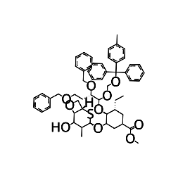 CC[C@@H]1CC(C(=O)OC)CC(O[C@@H]2S[C@H]3COC3C(O)C2C)[C@H]1OC(OCOC(c1ccccc1)(c1ccccc1)c1ccc(C)cc1)[C@H](CCOCc1ccccc1)OCc1ccccc1